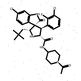 CC(=O)N1CCC(NC(=O)[C@@H]2N[C@H](CC(C)(C)C)[C@]3(C(=O)Nc4cc(Cl)ccc43)[C@H]2c2cccc(Cl)c2F)CC1